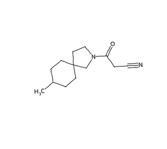 CC1CCC2(CC1)CCN(C(=O)CC#N)C2